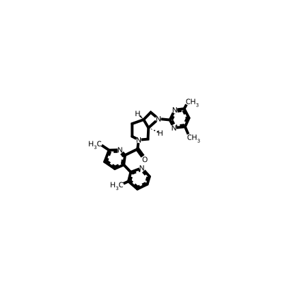 Cc1cc(C)nc(N2C[C@@H]3CCN(C(=O)c4nc(C)ccc4-c4ncccc4C)C[C@@H]32)n1